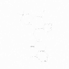 O=C(NCC(c1scnc1C(F)F)N1CCC(F)(F)CC1)c1c(F)cccc1Cl